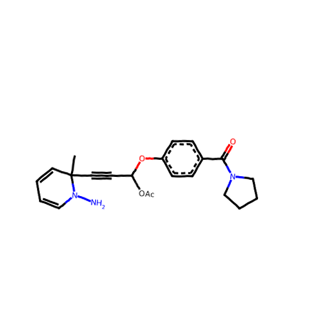 CC(=O)OC(C#CC1(C)C=CC=CN1N)Oc1ccc(C(=O)N2CCCC2)cc1